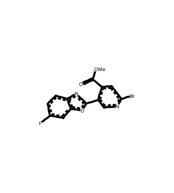 COC(=O)c1cc(Br)ncc1-c1nc2ccc(F)cc2o1